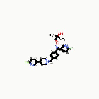 CC(C)(O)CON=C(c1ccc(CN2CCC(c3ccc(F)nc3)CC2)cc1)c1ccc(Cl)nc1